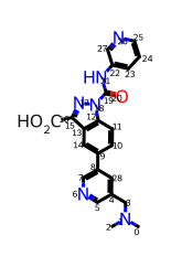 CN(C)Cc1cncc(-c2ccc3c(c2)c(C(=O)O)nn3C(=O)Nc2cccnc2)c1